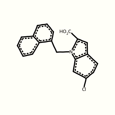 O=C(O)c1cc2ccc(Cl)cc2n1Cc1cccc2ccccc12